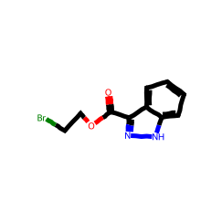 O=C(OCCBr)c1n[nH]c2ccccc12